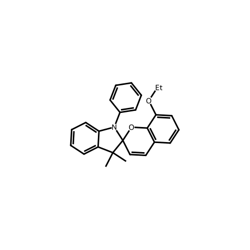 CCOc1cccc2c1OC1(C=C2)N(c2ccccc2)c2ccccc2C1(C)C